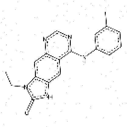 CCn1c(=O)[nH]c2cc3c(Nc4cccc(C)c4)ncnc3cc21